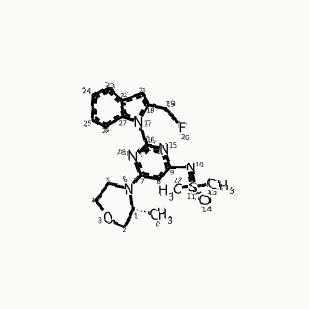 C[C@@H]1COCCN1c1cc(N=S(C)(C)=O)nc(-n2c(CF)cc3ccccc32)n1